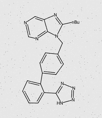 CCCCc1nc2cncnc2n1Cc1ccc(-c2ccccc2-c2nnn[nH]2)cc1